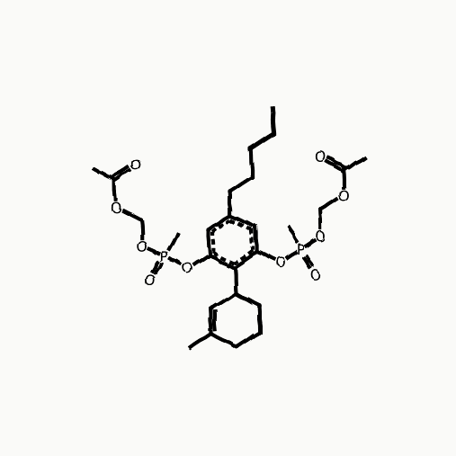 CCCCCc1cc(OP(C)(=O)OCOC(C)=O)c(C2C=C(C)CCC2)c(OP(C)(=O)OCOC(C)=O)c1